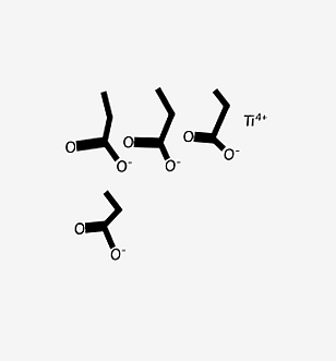 CCC(=O)[O-].CCC(=O)[O-].CCC(=O)[O-].CCC(=O)[O-].[Ti+4]